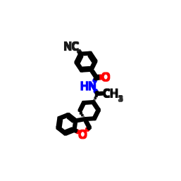 CC(NC(=O)c1ccc(C#N)cc1)[C@H]1CC[C@]2(CC1)COc1ccccc12